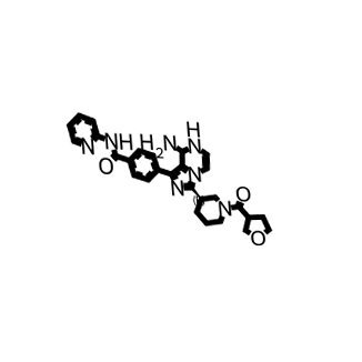 NC1NC=Cn2c([C@@H]3CCCN(C(=O)C4CCOC4)C3)nc(-c3ccc(C(=O)Nc4ccccn4)cc3)c21